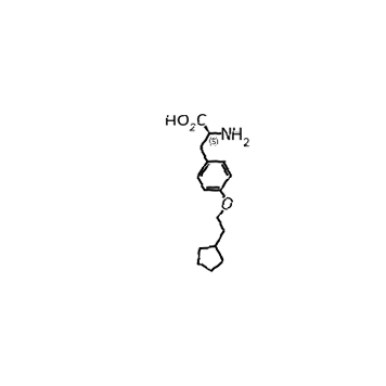 N[C@@H](Cc1ccc(OCCC2CCCC2)cc1)C(=O)O